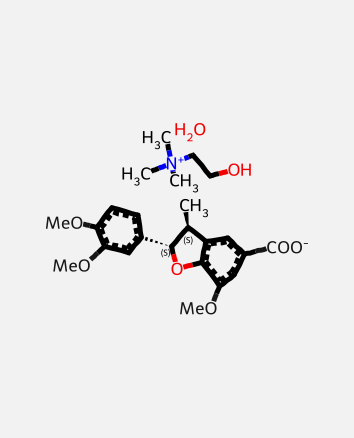 COc1ccc([C@H]2Oc3c(OC)cc(C(=O)[O-])cc3[C@@H]2C)cc1OC.C[N+](C)(C)CCO.O